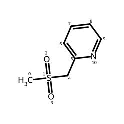 CS(=O)(=O)Cc1ccccn1